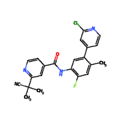 Cc1cc(F)c(NC(=O)c2ccnc(C(C)(C)C#N)c2)cc1-c1ccnc(Cl)c1